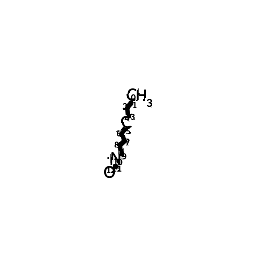 CCCCCCCCCC[N]C=O